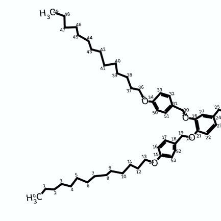 CCCCCCCCCCCCCCOc1ccc(COc2ccc(CO)cc2OCc2ccc(OCCCCCCCCCCCCCC)cc2)cc1